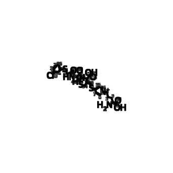 N[C@@H](CCC[n+]1ccc(SCC2=C(C(=O)O)N3C(=O)[C@H](NC(=O)CSc4cccc(Cl)c4)[C@H]3SC2)cc1)C(=O)O